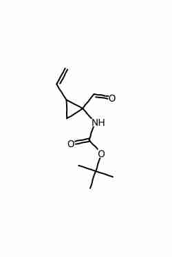 C=CC1CC1(C=O)NC(=O)OC(C)(C)C